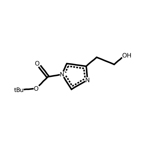 CC(C)(C)OC(=O)n1cnc(CCO)c1